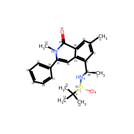 Cc1cc([C@@H](C)N[S@+]([O-])C(C)(C)C)c2cc(-c3ccccc3)n(C)c(=O)c2c1